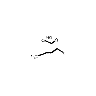 CCCCCl.Cl.ClCCl